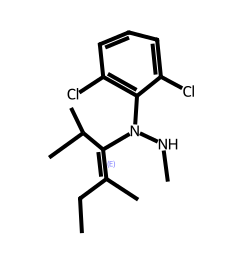 CC/C(C)=C(\C(C)C)N(NC)c1c(Cl)cccc1Cl